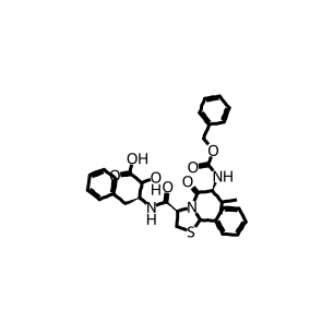 CC(C)[C@H](NC(=O)OCc1ccccc1)C(=O)N1C(c2ccccc2)SC[C@H]1C(=O)N[C@@H](Cc1ccccc1)C(O)C(=O)O